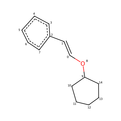 C(=Cc1ccccc1)OC1CCCCC1